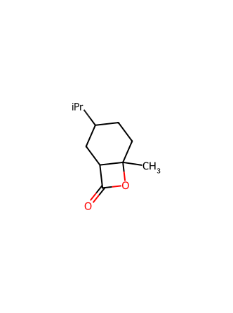 CC(C)C1CCC2(C)OC(=O)C2C1